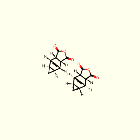 O=C1OC(=O)[C@H]2[C@@H]3C=C[C@@H]([C@H]4C[C@@H]34)[C@@H]12.O=C1OC(=O)[C@H]2[C@H]3C=C[C@H]([C@@H]4C[C@H]34)[C@@H]12